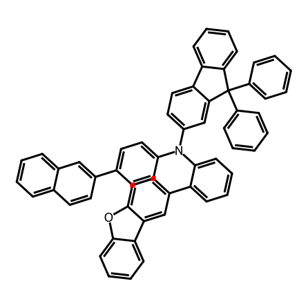 c1ccc(C2(c3ccccc3)c3ccccc3-c3ccc(N(c4ccc(-c5ccc6ccccc6c5)cc4)c4ccccc4-c4ccc5oc6ccccc6c5c4)cc32)cc1